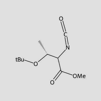 COC(=O)C(N=C=O)[C@@H](C)OC(C)(C)C